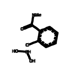 CNC(=O)c1ccccc1Cl.OBO